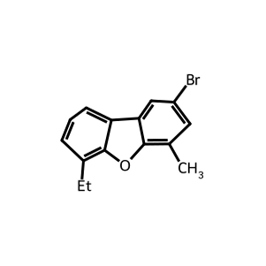 CCc1cccc2c1oc1c(C)cc(Br)cc12